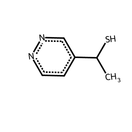 CC(S)c1ccnnc1